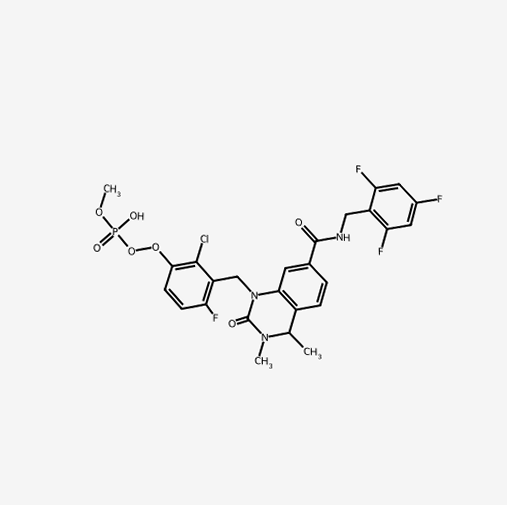 COP(=O)(O)OOc1ccc(F)c(CN2C(=O)N(C)C(C)c3ccc(C(=O)NCc4c(F)cc(F)cc4F)cc32)c1Cl